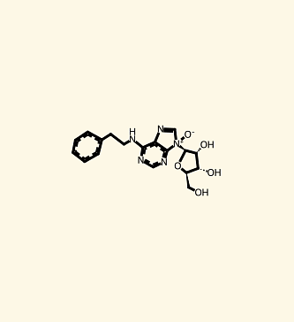 [O-][N+]1([C@@H]2O[C@H](CO)[C@@H](O)[C@H]2O)C=Nc2c(NCCc3ccccc3)ncnc21